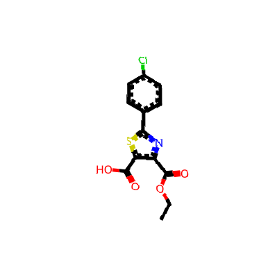 CCOC(=O)c1nc(-c2ccc(Cl)cc2)sc1C(=O)O